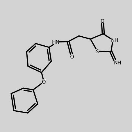 N=C1NC(=O)C(CC(=O)Nc2cccc(Oc3ccccc3)c2)S1